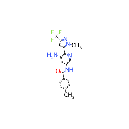 Cc1ccc(C(=O)Nc2cnc(-c3cc(C(F)(F)F)nn3C)c(N)c2)cc1